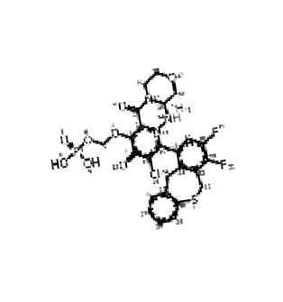 O=C1c2c(OCOP(=O)(O)O)c(=O)c(Cl)c(-c3cc(F)c(F)c4c3Cc3ccccc3SC4)n2N[C@@H]2COCCN12